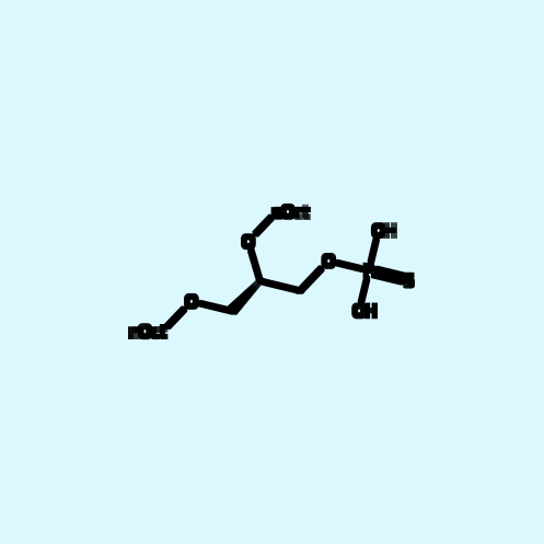 CCCCCCCCOC[C@H](COP(O)(O)=S)OCCCCCCCC